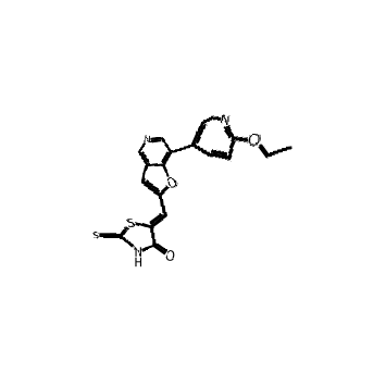 CCOc1ccc(-c2cncc3cc(/C=C4\SC(=S)NC4=O)oc23)cn1